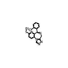 CCSc1ccc2c(n1)C(c1ccccc1Cl)=NCc1nncn1-2